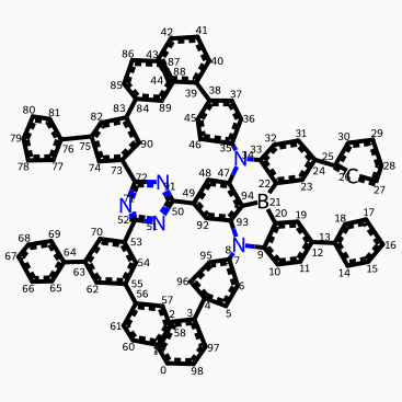 c1ccc(-c2ccc(N3c4ccc(-c5ccccc5)cc4B4c5cc(-c6ccccc6)ccc5N(c5ccc(-c6ccccc6)cc5)c5cc(-c6nc(-c7cc(-c8ccccc8)cc(-c8ccccc8)c7)nc(-c7cc(-c8ccccc8)cc(-c8ccccc8)c7)n6)cc3c54)cc2)cc1